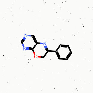 c1ccc(C2=Nc3cncnc3OC2)cc1